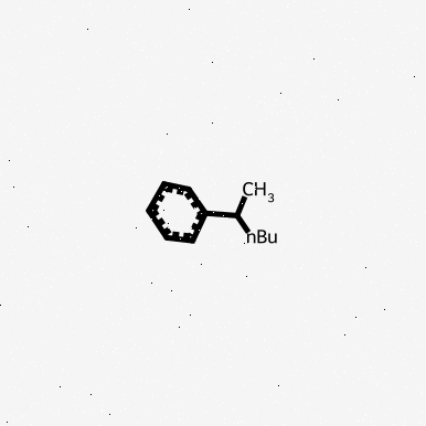 [CH2]CCCC(C)c1ccccc1